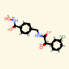 O=C(NCc1ccc(C(=O)NO)cc1)C(=O)c1cccc(Cl)c1